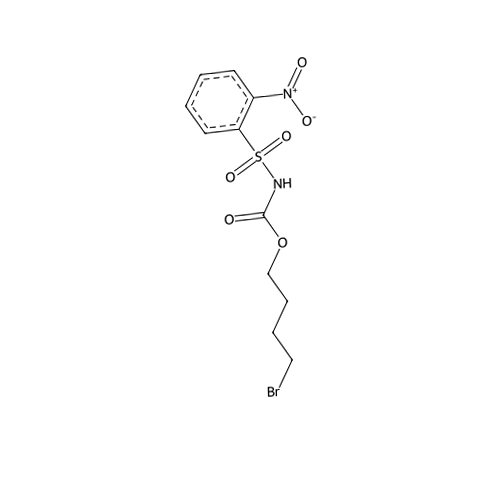 O=C(NS(=O)(=O)c1ccccc1[N+](=O)[O-])OCCCCBr